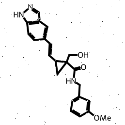 COc1cccc(CNC(=O)C2(CO)CC2/C=C/c2ccc3[nH]ncc3c2)c1